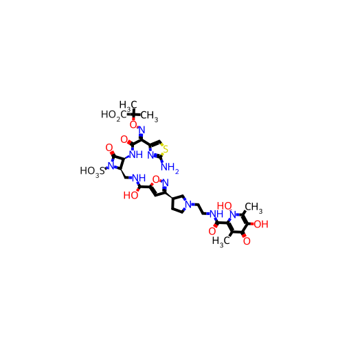 Cc1c(C(=O)NCCN2CC[C@@H](c3cc(C(O)NC[C@@H]4[C@H](NC(=O)/C(=N\OC(C)(C)C(=O)O)c5csc(N)n5)C(=O)N4S(=O)(=O)O)on3)C2)n(O)c(C)c(O)c1=O